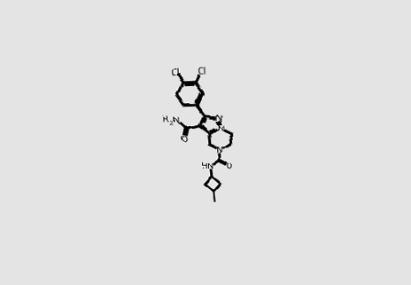 CC1CC(NC(=O)N2CCn3nc(C4=CC(Cl)=C(Cl)CC4)c(C(N)=O)c3C2)C1